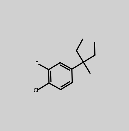 CCC(C)(CC)c1ccc(Cl)c(F)c1